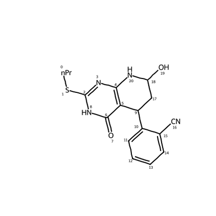 CCCSc1nc2c(c(=O)[nH]1)C(c1ccccc1C#N)CC(O)N2